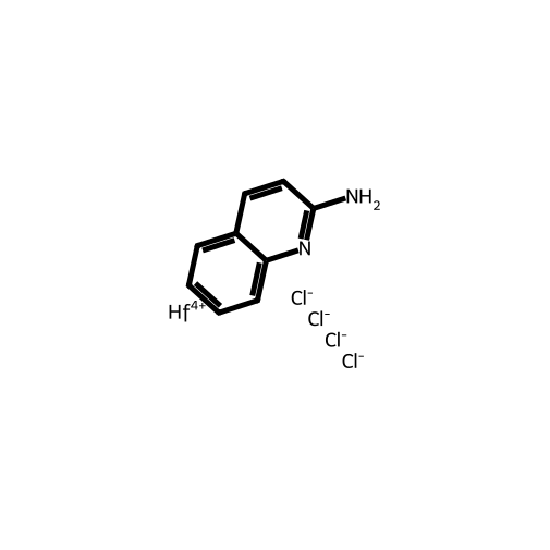 Nc1ccc2ccccc2n1.[Cl-].[Cl-].[Cl-].[Cl-].[Hf+4]